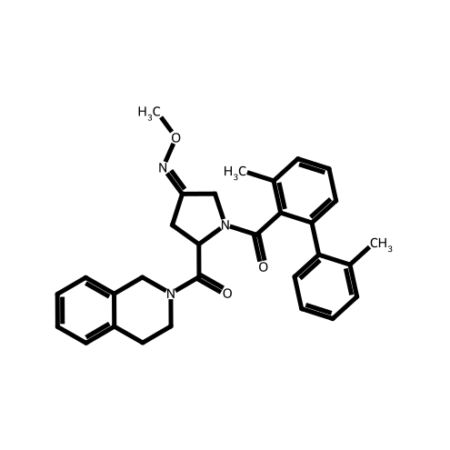 CON=C1CC(C(=O)N2CCc3ccccc3C2)N(C(=O)c2c(C)cccc2-c2ccccc2C)C1